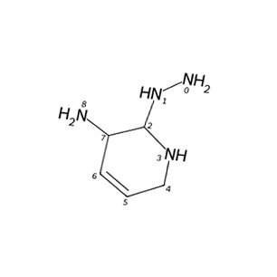 NNC1NCC=CC1N